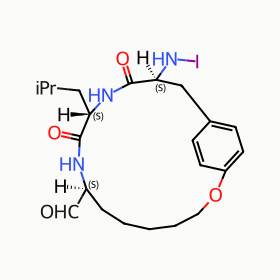 CC(C)C[C@@H]1NC(=O)[C@@H](NI)Cc2ccc(cc2)OCCCCC[C@@H](C=O)NC1=O